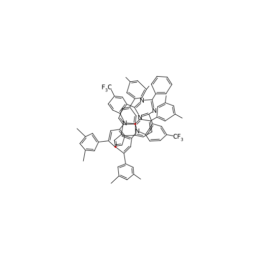 Cc1cc(C)cc(-c2ccc3c4ccc(-c5cc(C)cc(C)c5)cc4n(-c4ccc(C(F)(F)F)cc4-c4nc(-c5ccccc5)nc(-c5cc(C(F)(F)F)ccc5-n5c6cc(-c7cc(C)cc(C)c7)ccc6c6ccc(-c7cc(C)cc(C)c7)cc65)n4)c3c2)c1